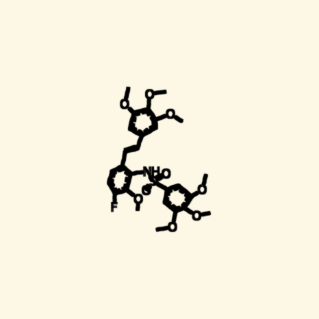 COc1cc(C=Cc2ccc(F)c(OC)c2NS(=O)(=O)c2cc(OC)c(OC)c(OC)c2)cc(OC)c1OC